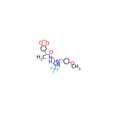 COc1ccc(Cn2nc(C(F)(F)F)cc2CNC(=O)C(C)c2ccc3c(c2)OCCO3)cc1